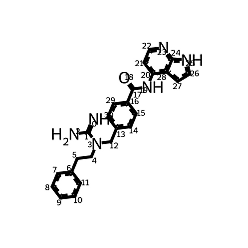 N=C(N)N(CCc1ccccc1)Cc1ccc(C(=O)Nc2ccnc3[nH]ccc23)cc1